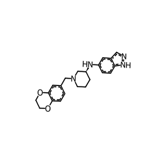 c1cc2c(cc1CN1CCC[C@H](Nc3ccc4[nH]ncc4c3)C1)OCCO2